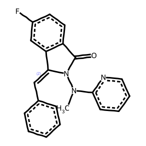 CN(c1ccccn1)N1C(=O)c2ccc(F)cc2/C1=C/c1ccccc1